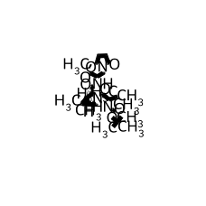 COC(=O)C(CN1CCCC1=O)NC(=O)[C@@H]1[C@@H]2[C@H](CN1C(=O)C(NC(=O)OC(C)(C)C)C(C)(C)C)C2(C)C